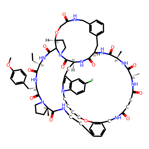 CC[C@@H]1NC(=O)C2[C@@H]3CCN2C(=O)[C@@H]2Cc4cn(c5ccc(F)cc45)CCCCOc4cc(ccc4CNC(=O)CCC(=O)N[C@@H](C)C(=O)N[C@H](C)C(=O)N[C@@H](Cc4cccc(c4)CNC(=O)CO3)C(=O)N2)CCNC(=O)[C@]2(C)CCCN2C(=O)[C@H](Cc2ccc(OC)cc2)NC1=O